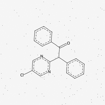 O=C(c1ccccc1)C(c1ccccc1)c1ncc(Cl)cn1